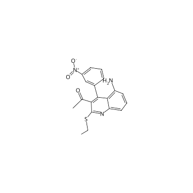 CCSc1nc2cccc(N)c2c(-c2cccc([N+](=O)[O-])c2)c1C(C)=O